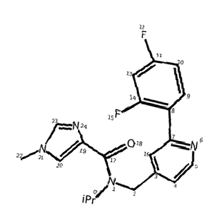 CC(C)N(Cc1ccnc(-c2ccc(F)cc2F)c1)C(=O)c1cn(C)cn1